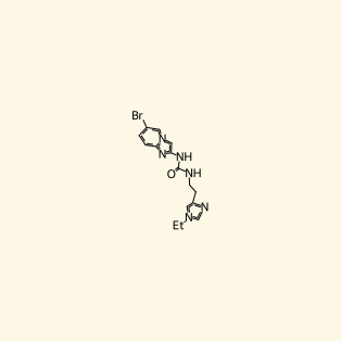 CCn1cnc(CCNC(=O)Nc2cn3cc(Br)ccc3n2)c1